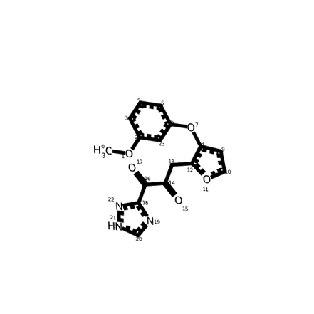 COc1cccc(Oc2ccoc2CC(=O)C(=O)c2nc[nH]n2)c1